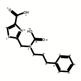 O=C(O)c1csc(CN(CCCc2ccccc2)C(=O)O)n1